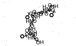 CNC(=O)c1[nH]c(C(=O)N[C@@H]2COC(CNC(=O)c3[nH]c(C(=O)N[C@H]4COC(CNC(=O)c5[nH]c(C(=O)N[C@H]6CC[C@H](O)C6)cc5OC(C)c5ccccc5)C4)cc3OC(C)c3ccccc3)C2)cc1OC(C)c1ccccc1